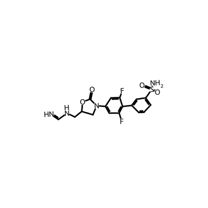 N=CNCC1CN(c2cc(F)c(-c3cccc(S(N)(=O)=O)c3)c(F)c2)C(=O)O1